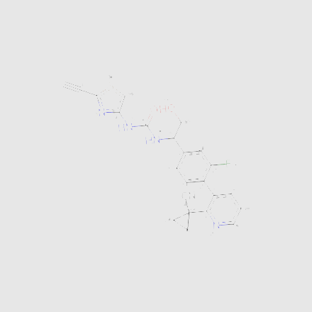 C#Cc1nc(NC(=O)NC(CO)c2ccc(-c3cccnc3C3(C#N)CC3)c(F)c2)cs1